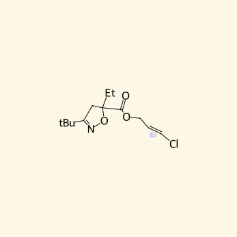 CCC1(C(=O)OC/C=C/Cl)CC(C(C)(C)C)=NO1